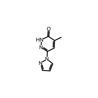 Cc1cc(-n2cccn2)n[nH]c1=O